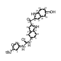 CC(C)(C)c1cc(NC(=O)Nc2ccc3[nH]c(C(=O)c4cc5cc(O)ccc5[nH]4)cc3c2)no1